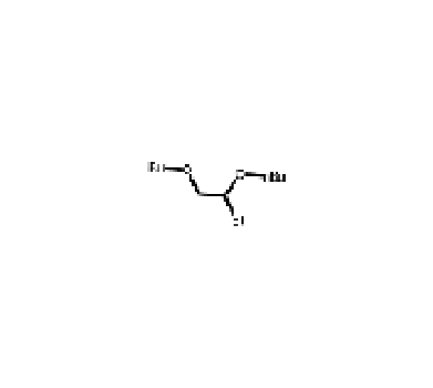 [CH2]C(CC)OCC(CC)OCCCC